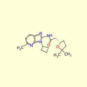 Cc1ccc2nc(NC(=O)C[C@@H]3CCC(C)(C)O3)n(C3CCC3)c2n1